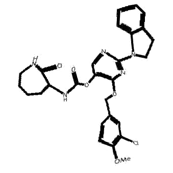 COc1ccc(COc2nc(N3CCc4ccccc43)ncc2OC(=O)NC2CCCCNC2=O)cc1Cl